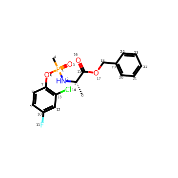 C[C@H](NP(C)(=O)Oc1ccc(F)cc1Cl)C(=O)OCc1ccccc1